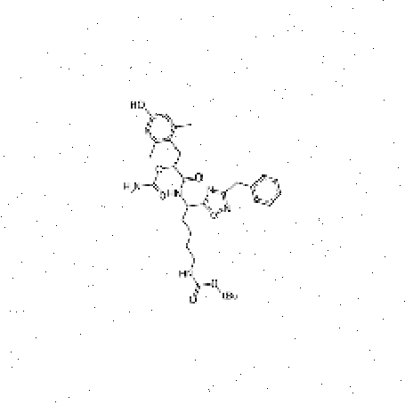 Cc1cc(O)cc(C)c1CC(OC(N)=O)C(=O)NC(CCCCNC(=O)OC(C)(C)C)c1nc(Cc2ccccc2)no1